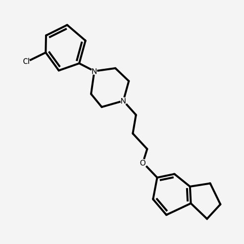 Clc1cccc(N2CCN(CCCOc3ccc4c(c3)CCC4)CC2)c1